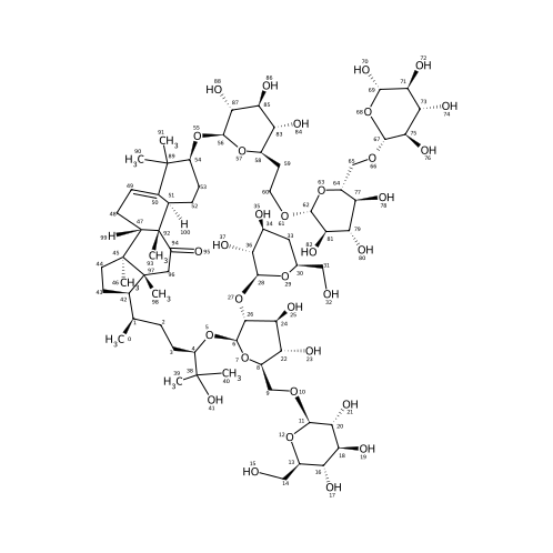 C[C@H](CC[C@@H](O[C@@H]1O[C@H](CO[C@@H]2O[C@H](CO)[C@@H](O)[C@H](O)[C@H]2O)[C@@H](O)[C@H](O)[C@H]1O[C@@H]1O[C@H](CO)C[C@H](O)[C@H]1O)C(C)(C)O)[C@H]1CC[C@@]2(C)[C@@H]3CC=C4[C@@H](CC[C@H](O[C@@H]5O[C@H](CCO[C@@H]6O[C@H](CO[C@@H]7O[C@H](O)[C@@H](O)[C@H](O)[C@H]7O)[C@@H](O)[C@H](O)[C@H]6O)[C@@H](O)[C@H](O)[C@H]5O)C4(C)C)[C@]3(C)C(=O)C[C@]12C